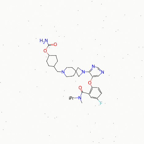 CC(C)N(C)C(=O)c1cc(F)ccc1Oc1cncnc1N1CC2(CCN(CC3CCC(OC(N)=O)CC3)CC2)C1